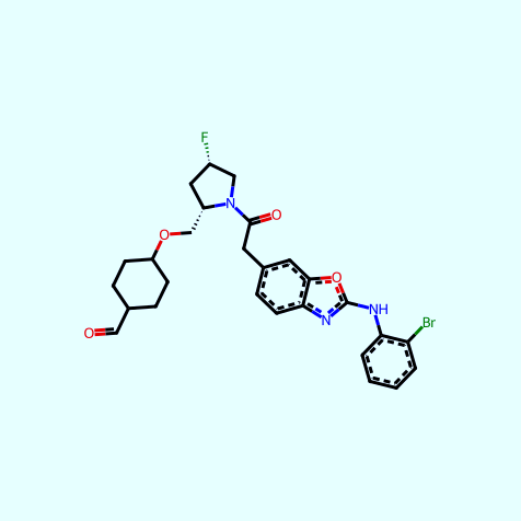 O=CC1CCC(OC[C@@H]2C[C@H](F)CN2C(=O)Cc2ccc3nc(Nc4ccccc4Br)oc3c2)CC1